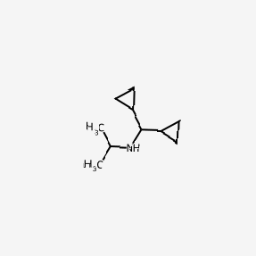 CC(C)NC(C1CC1)C1CC1